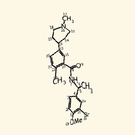 COc1ccc(C(C)NC(=O)c2cc(C3CCN(C)CC3)ccc2C)cc1Br